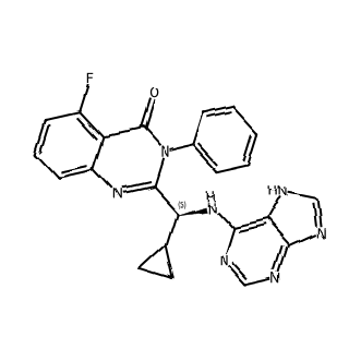 O=c1c2c(F)cccc2nc([C@@H](Nc2ncnc3nc[nH]c23)C2CC2)n1-c1ccccc1